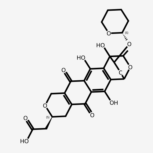 CC1OC2CC(O[C@H]3CCCCO3)C1(O)c1c(O)c3c(c(O)c12)C(=O)C1=C(CO[C@H](CC(=O)O)C1)C3=O